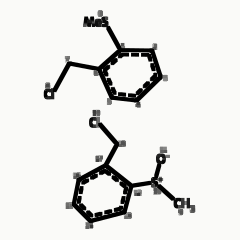 CSc1ccccc1CCl.C[S+]([O-])c1ccccc1CCl